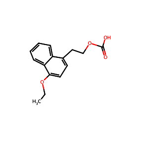 CCOc1ccc(CCOC(=O)O)c2ccccc12